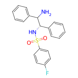 NC(c1ccccc1)[C@@H](NS(=O)(=O)c1ccc(F)cc1)c1ccccc1